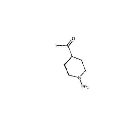 O=C(I)C1CCN(P)CC1